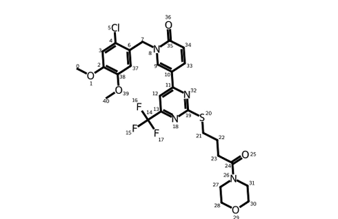 COc1cc(Cl)c(Cn2cc(-c3cc(C(F)(F)F)nc(SCCCC(=O)N4CCOCC4)n3)ccc2=O)cc1OC